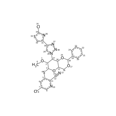 COC1C(Sc2cc(Cl)cnc2C#N)OC2COC(c3ccccc3)OC2C1n1cc(-c2csc(Cl)n2)nn1